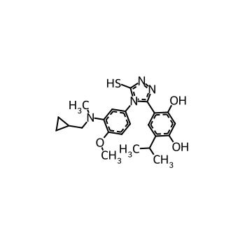 COc1ccc(-n2c(S)nnc2-c2cc(C(C)C)c(O)cc2O)cc1N(C)CC1CC1